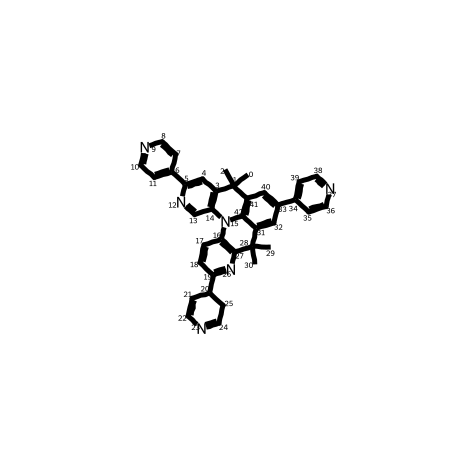 CC1(C)c2cc(-c3ccncc3)ncc2N2c3ccc(C4C=CN=CC4)nc3C(C)(C)c3cc(-c4ccncc4)cc1c32